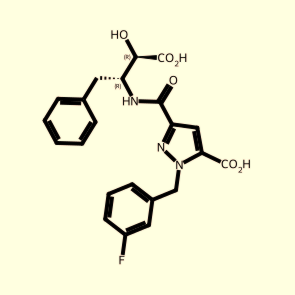 O=C(N[C@H](Cc1ccccc1)[C@@H](O)C(=O)O)c1cc(C(=O)O)n(Cc2cccc(F)c2)n1